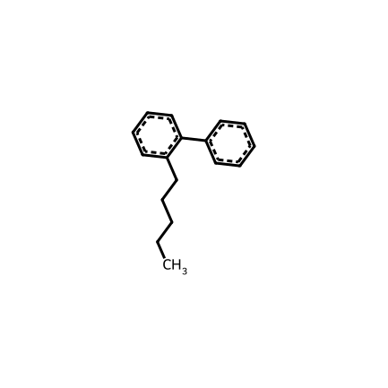 CCCCCc1ccccc1-c1ccccc1